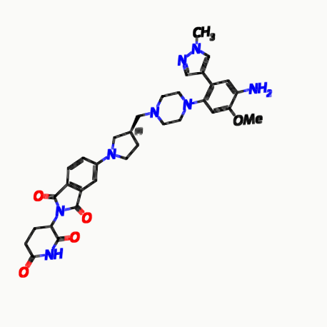 COc1cc(N2CCN(C[C@H]3CCN(c4ccc5c(c4)C(=O)N(C4CCC(=O)NC4=O)C5=O)C3)CC2)c(-c2cnn(C)c2)cc1N